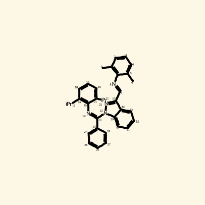 Cc1cccc(C)c1/N=C/c1nn(/C(=N\c2c(C(C)C)cccc2C(C)C)c2ccccc2)c2ccccc12